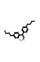 CCCCc1ccc(C(CP)c2ccc(CCCC)cc2)cc1